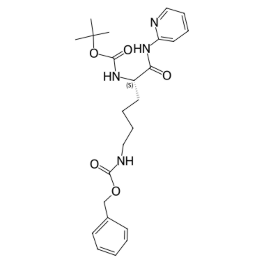 CC(C)(C)OC(=O)N[C@@H](CCCCNC(=O)OCc1ccccc1)C(=O)Nc1ccccn1